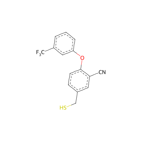 N#Cc1cc(CS)ccc1Oc1cccc(C(F)(F)F)c1